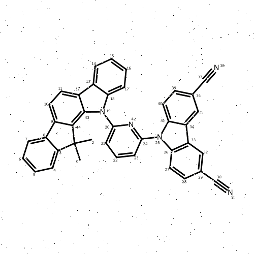 CC1(C)c2ccccc2-c2ccc3c4ccccc4n(-c4cccc(-n5c6ccc(C#N)cc6c6cc(C#N)ccc65)n4)c3c21